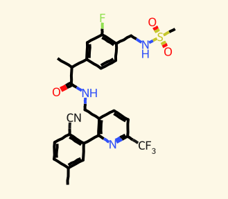 Cc1ccc(C#N)c(-c2nc(C(F)(F)F)ccc2CNC(=O)C(C)c2ccc(CNS(C)(=O)=O)c(F)c2)c1